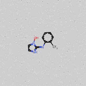 On1cc[nH]c1=Nc1ccccc1C(F)(F)F